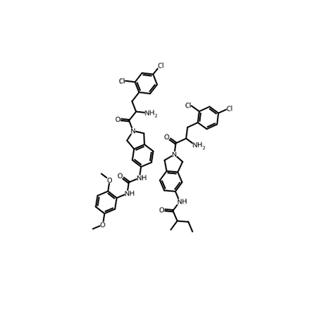 CCC(C)C(=O)Nc1ccc2c(c1)CN(C(=O)C(N)Cc1ccc(Cl)cc1Cl)C2.COc1ccc(OC)c(NC(=O)Nc2ccc3c(c2)CN(C(=O)C(N)Cc2ccc(Cl)cc2Cl)C3)c1